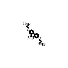 CCNCCOc1ccc2c(c1)c(=O)n(C)c1cc(OCCNCC)ccc21